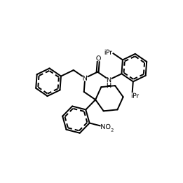 CC(C)c1cccc(C(C)C)c1NC(=O)N(Cc1ccccc1)CC1(c2ccccc2[N+](=O)[O-])CCCCC1